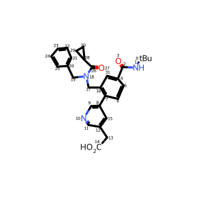 CC(C)(C)NC(=O)c1ccc(-c2cncc(CC(=O)O)c2)c(CN(Cc2ccccc2)C(=O)C2CC2)c1